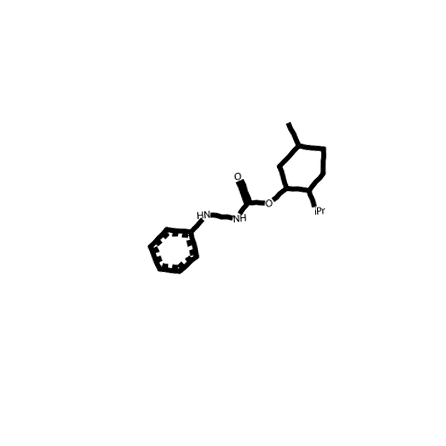 CC1CCC(C(C)C)C(OC(=O)NNc2ccccc2)C1